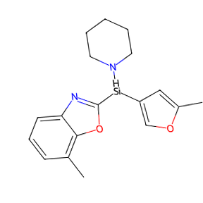 Cc1cc([SiH](c2nc3cccc(C)c3o2)N2CCCCC2)co1